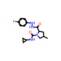 CC1CC(C(=O)NNc2ccc(F)cc2)N(C(=O)NC2CC2)C1